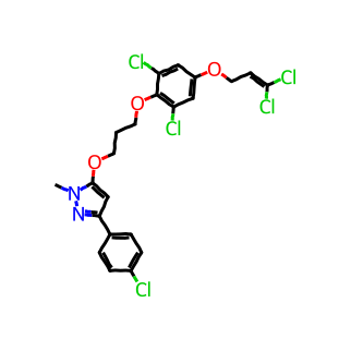 Cn1nc(-c2ccc(Cl)cc2)cc1OCCCOc1c(Cl)cc(OCC=C(Cl)Cl)cc1Cl